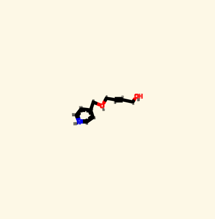 OCC#CCOCc1ccncc1